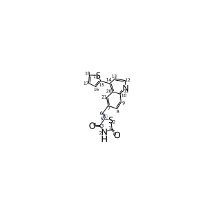 O=C1NC(=O)/C(=C/c2ccc3nccc(-c4cccs4)c3c2)S1